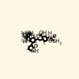 [2H]C([2H])([2H])C(c1cc(/C=C/c2ccc(NS(C)(=O)=O)cc2C(=O)O)cc(-c2ccc[nH]c2=O)c1)(C([2H])([2H])[2H])C([2H])([2H])[2H]